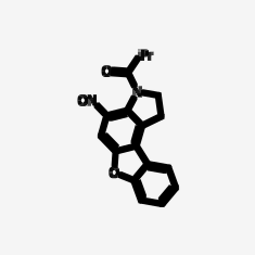 CC(C)C(=O)N1CCc2c1c(N=O)cc1oc3ccccc3c21